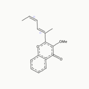 C/C=C\C=C(/C)c1oc2ccccc2c(=O)c1OC